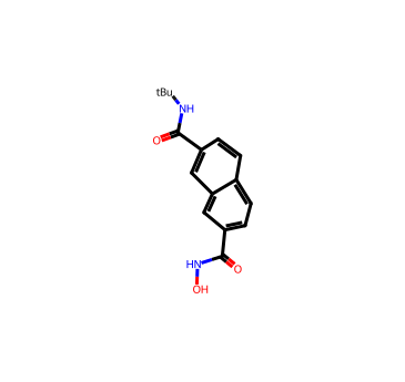 CC(C)(C)NC(=O)c1ccc2ccc(C(=O)NO)cc2c1